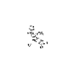 CO[C@@H]1[C@@H](CS(=O)(=O)c2ccccc2)[C@H](CC=O)O[C@@H]1C[C@H]1CNC(=O)O1